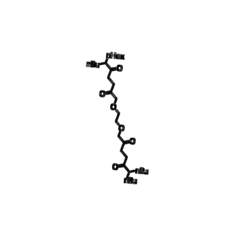 CCCCCCC(CCCC)C(=O)CCC(=O)COCCOCC(=O)CCC(=O)C(CCCC)CCCC